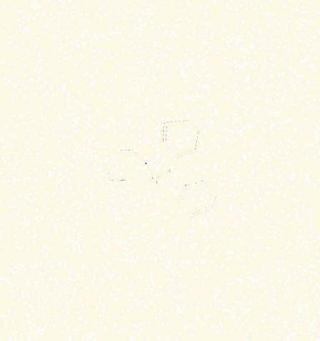 CC1([15N]=C(c2ccccc2)c2ccccc2)CCOCC1